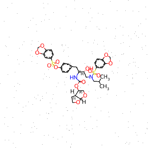 CC(C)CN(C[C@@H](O)[C@H](Cc1ccc(OS(=O)(=O)c2ccc3c(c2)OCO3)cc1)NC(=O)O[C@H]1CO[C@H]2OCC[C@H]21)S(=O)(=O)c1ccc2c(c1)OCO2